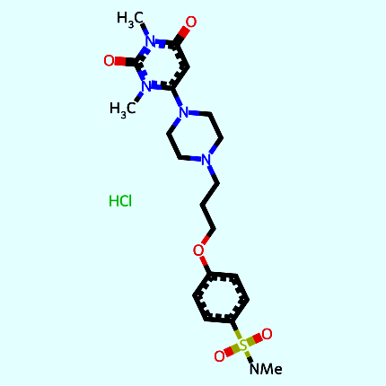 CNS(=O)(=O)c1ccc(OCCCN2CCN(c3cc(=O)n(C)c(=O)n3C)CC2)cc1.Cl